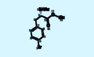 CC(=O)N[C@@H](Cc1ccc(Br)cc1)C(=O)OC(C)(C)C